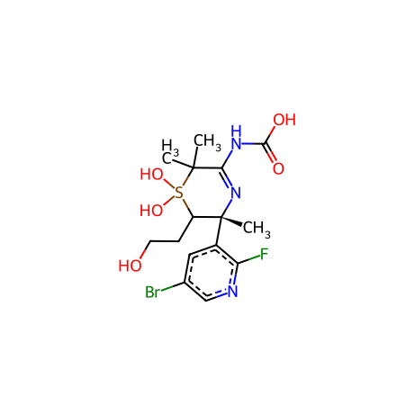 CC1(C)C(NC(=O)O)=N[C@](C)(c2cc(Br)cnc2F)C(CCO)S1(O)O